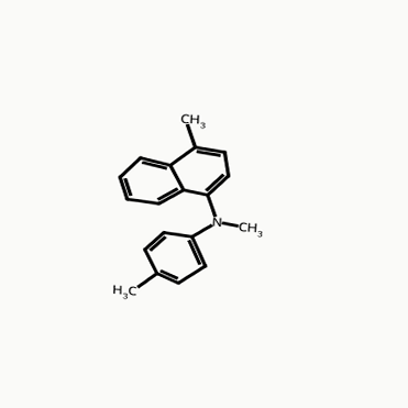 Cc1ccc(N(C)c2ccc(C)c3ccccc23)cc1